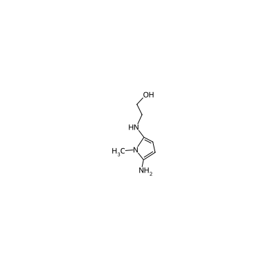 Cn1c(N)ccc1NCCO